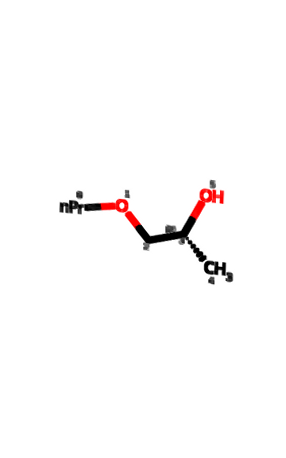 CCCOC[C@@H](C)O